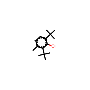 Cc1[c]cc(C(C)(C)C)c(O)c1C(C)(C)C